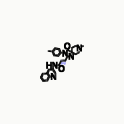 Cc1ccc(N2C(=O)C3(CCN(C)CC3)N=C2/C=C/C(=O)Nc2cnc3ccccc3c2)cc1